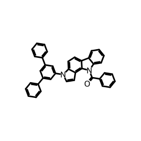 O=C(c1ccccc1)n1c2ccccc2c2ccc3c(ccn3-c3cc(-c4ccccc4)cc(-c4ccccc4)c3)c21